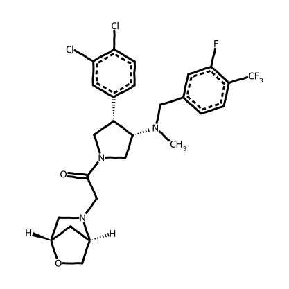 CN(Cc1ccc(C(F)(F)F)c(F)c1)[C@@H]1CN(C(=O)CN2C[C@@H]3C[C@@H]2CO3)C[C@@H]1c1ccc(Cl)c(Cl)c1